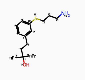 CCCC(O)(CCC)CCc1cccc(SCCCN)c1